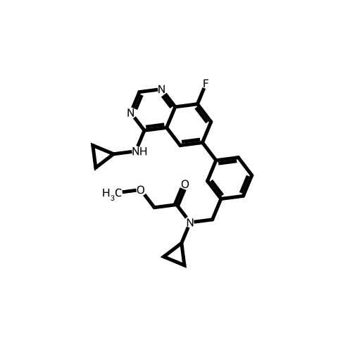 COCC(=O)N(Cc1cccc(-c2cc(F)c3ncnc(NC4CC4)c3c2)c1)C1CC1